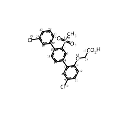 CS(=O)(=O)c1cc(-c2cc(Cl)ccc2OCC(=O)O)ccc1-c1cccc(Cl)c1